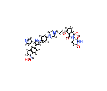 O=C1CCC(N2C(=O)c3cccc(OCCCN4CCN(c5ccc(-n6cc(-c7ccc8c(c7)CCC8=NO)c(-c7ccncc7)n6)cc5)CC4)c3C2=O)C(=O)N1